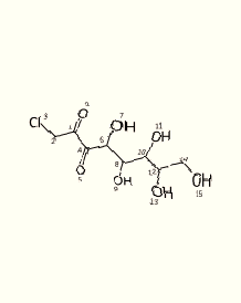 O=C(CCl)C(=O)C(O)C(O)C(O)C(O)CO